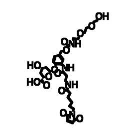 O=C(CCCCCN1C(=O)C=CC1=O)NCCC(=O)Nc1cc(COC(=O)NCCOCCOCCO)ccc1O[C@H]1C[C@@H](O)C[C@@H](C(=O)O)O1